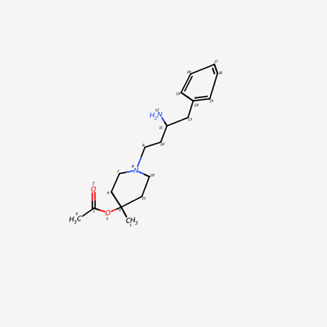 CC(=O)OC1(C)CCN(CCC(N)Cc2ccccc2)CC1